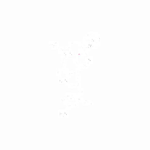 COc1ccc(CN2C3CC2CN(c2ccc(-c4cc(CC(C)(C)OC(N)=O)cn5ncc(C#N)c45)cn2)C3)cn1